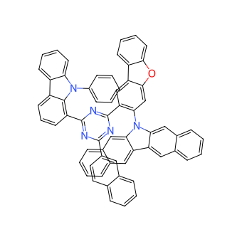 c1ccc(-n2c3ccccc3c3cccc(-c4nc(-c5ccc6ccccc6c5)nc(-c5cc6c(cc5-n5c7cc8ccccc8cc7c7cc8ccccc8cc75)oc5ccccc56)n4)c32)cc1